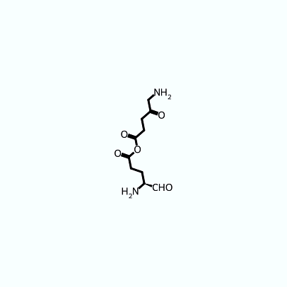 NCC(=O)CCC(=O)OC(=O)CC[C@H](N)C=O